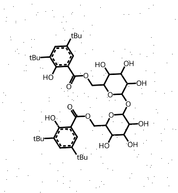 CC(C)(C)c1cc(C(=O)OCC2OC(OC3OC(COC(=O)c4cc(C(C)(C)C)cc(C(C)(C)C)c4O)C(O)C(O)C3O)C(O)C(O)C2O)c(O)c(C(C)(C)C)c1